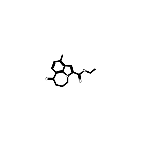 CCOC(=O)c1cc2c(C)ccc3c2n1CCCC3=O